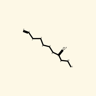 C=CCCCCCC(=O)CCC